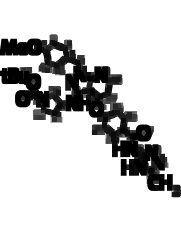 COc1ccc(Cn2nc(N[C@@H]3CCN(C(=O)OC(C)(C)C)C3)c3c(Oc4ccc(C(=O)Nc5nnc(C)[nH]5)cc4)ccnc32)cc1